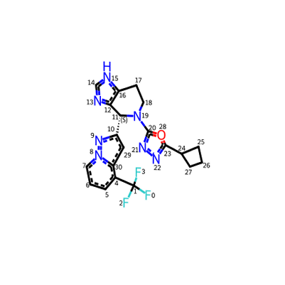 FC(F)(F)c1cccn2nc([C@@H]3c4nc[nH]c4CCN3c3nnc(C4CCC4)o3)cc12